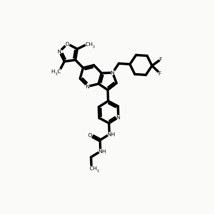 CCNC(=O)Nc1ccc(-c2cn(CC3CCC(F)(F)CC3)c3cc(-c4c(C)noc4C)cnc23)cn1